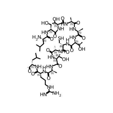 CC(C)C[C@@H]([C]=O)NC(=O)[C@H](CCCNC(=N)N)NC(=O)[C@H](C)NC(=O)[C@@H](NC(=O)[C@H](C)NC(=O)[C@H](CS)NC(=O)[C@@H](NC(=O)[C@H](C)NC(=O)[C@H](C)NC(=O)[C@@H](NC(=O)[C@H](CO)NC(=O)[C@@H](N)CC(C)C)[C@@H](C)O)[C@@H](C)O)[C@@H](C)O